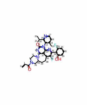 C=CC(=O)N1CCN2c3nc(=O)n(-c4c(C)ccnc4C(C)C)c4nc(-c5c(O)cccc5F)c(F)c(c34)CCC2C1